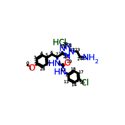 COc1ccc(CC(NC(=O)Nc2ccc(Cl)cc2)c2nnn(CCN)n2)cc1.Cl